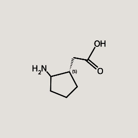 NC1CCC[C@H]1CC(=O)O